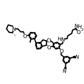 Cc1c(OCCCN2CCCC[C@H]2C)cccc1-c1cccc2c1CC[C@@H]2Oc1cc(OCc2cc(C#N)cc(C#N)c2)c(CNCCCCC(N)=O)cc1Cl